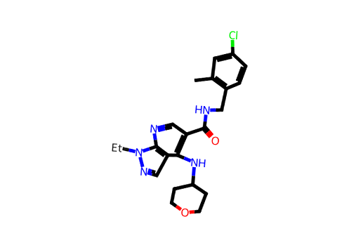 CCn1ncc2c(NC3CCOCC3)c(C(=O)NCc3ccc(Cl)cc3C)cnc21